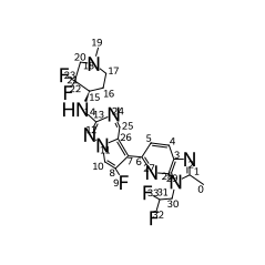 Cc1nc2ccc(-c3c(F)cn4nc(N[C@@H]5CCN(C)CC5(F)F)ncc34)nc2n1CC(F)F